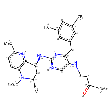 CCOC(=O)N1c2ccc(OC)nc2[C@@H](Nc2ncc(NCCC(=O)OC)c(Cc3cc(C(F)(F)F)cc(C(F)(F)F)c3)n2)C[C@H]1CC